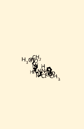 CN(C)C(=O)Cn1cc(Nc2ncc(Cl)c(NC[C@@H]3CCCN3S(C)(=O)=O)n2)cn1